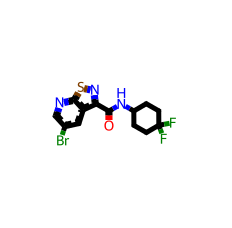 O=C(NC1CCC(F)(F)CC1)c1nsc2ncc(Br)cc12